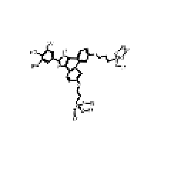 CCO[Si](CCCOc1ccc2c(c1)c1cc(OCCC[Si](OCC)(OCC)OCC)ccc1c1[nH]c(-c3cc(C(C)(C)C)c(O)c(C(C)(C)C)c3)nc21)(OCC)OCC